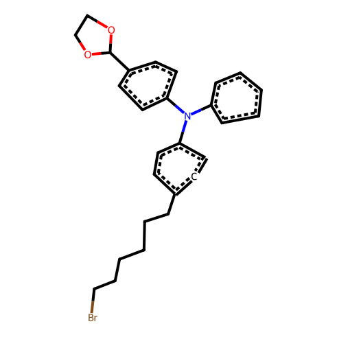 BrCCCCCCc1ccc(N(c2ccccc2)c2ccc(C3OCCO3)cc2)cc1